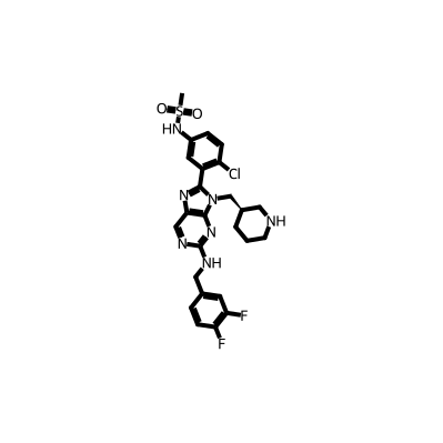 CS(=O)(=O)Nc1ccc(Cl)c(-c2nc3cnc(NCc4ccc(F)c(F)c4)nc3n2C[C@@H]2CCCNC2)c1